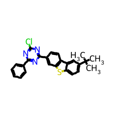 CC(C)(C)c1ccc2sc3cc(-c4nc(Cl)nc(-c5ccccc5)n4)ccc3c2c1